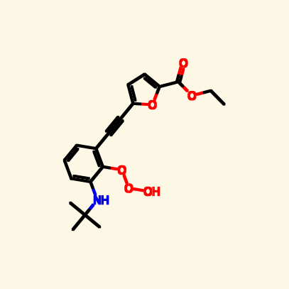 CCOC(=O)c1ccc(C#Cc2cccc(NC(C)(C)C)c2OOO)o1